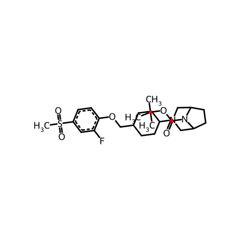 CC(C)(C)OC(=O)N1C2CCC1CN(C1CCC(COc3ccc(S(C)(=O)=O)cc3F)CC1)C2